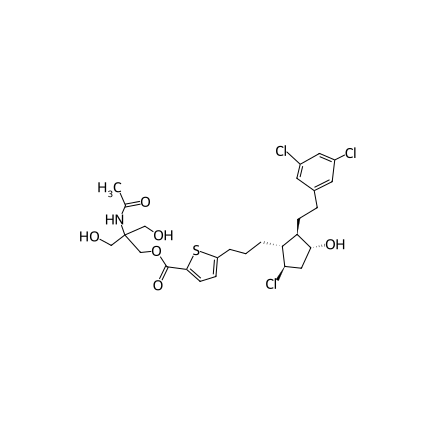 CC(=O)NC(CO)(CO)COC(=O)c1ccc(CCC[C@@H]2[C@@H](CCc3cc(Cl)cc(Cl)c3)[C@H](O)C[C@H]2Cl)s1